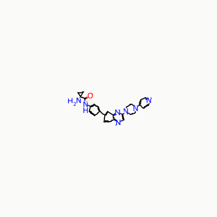 NC1(C(=O)Nc2ccc(-c3ccc4ncc(N5CCN(c6ccncc6)CC5)nc4c3)cc2)CC1